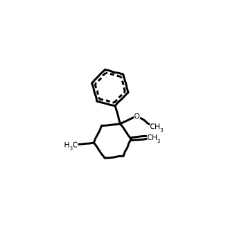 C=C1CCC(C)CC1(OC)c1ccccc1